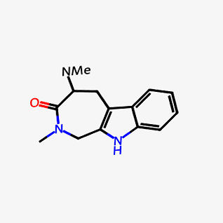 CNC1Cc2c([nH]c3ccccc23)CN(C)C1=O